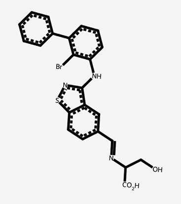 O=C(O)C(CO)N=Cc1ccc2snc(Nc3cccc(-c4ccccc4)c3Br)c2c1